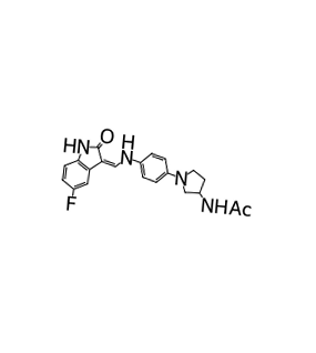 CC(=O)NC1CCN(c2ccc(NC=C3C(=O)Nc4ccc(F)cc43)cc2)C1